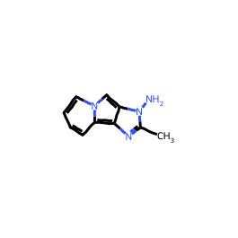 Cc1nc2c(cn3ccccc23)n1N